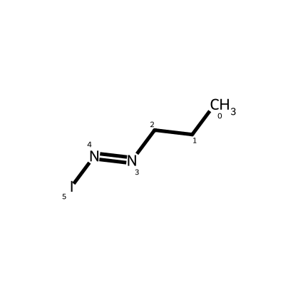 CCCN=NI